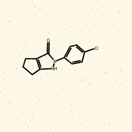 O=c1c2c([nH]n1-c1ccc(Cl)cc1)CCC2